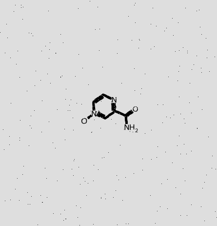 NC(=O)c1c[n+]([O-])ccn1